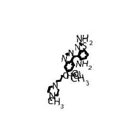 COc1cc2c(-c3c(N)ccc4sc(N)nc34)ncnc2cc1OCCCN1CCN(C)CC1.Cl